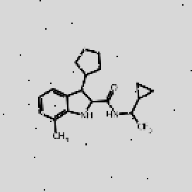 Cc1cccc2c1NC(C(=O)NC(C1CC1)C(F)(F)F)C2C1CCCC1